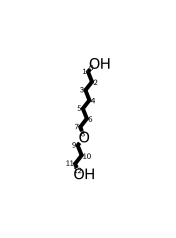 OCCCCCCCOCCCO